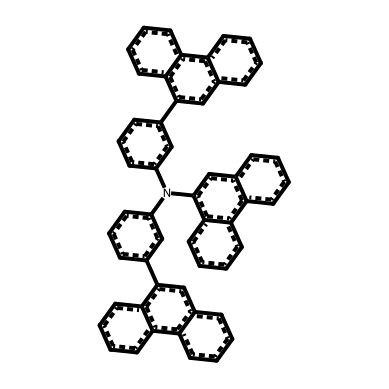 c1cc(-c2cc3ccccc3c3ccccc23)cc(N(c2cccc(-c3cc4ccccc4c4ccccc34)c2)c2cc3ccccc3c3ccccc23)c1